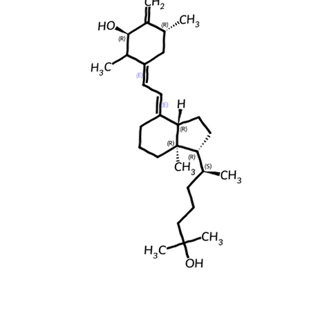 C=C1[C@H](C)C/C(=C\C=C2/CCC[C@]3(C)[C@@H]([C@@H](C)CCCC(C)(C)O)CC[C@@H]23)C(C)[C@H]1O